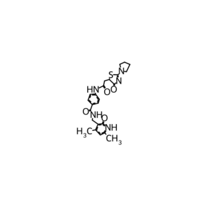 Cc1cc(C)c(CNC(=O)c2ccc(NC(=O)CC3SC(N4CCCC4)=NC3=O)cc2)c(=O)[nH]1